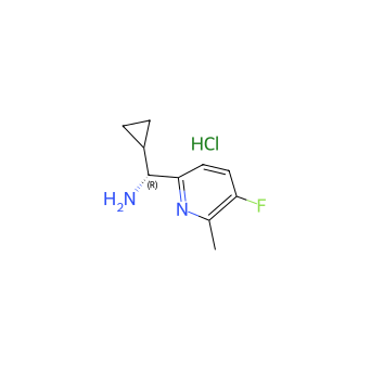 Cc1nc([C@H](N)C2CC2)ccc1F.Cl